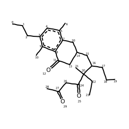 CCCc1cc(C)c2c(c1C)C(=O)CC(CC(CCC)C(C)(CC)C(=O)CC(C)=O)C2